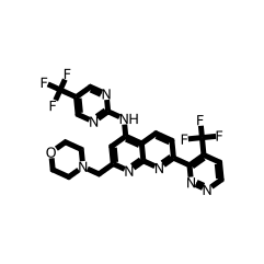 FC(F)(F)c1cnc(Nc2cc(CN3CCOCC3)nc3nc(-c4nnccc4C(F)(F)F)ccc23)nc1